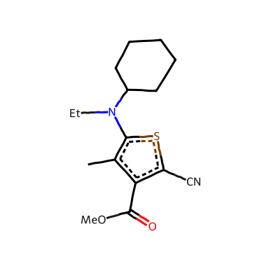 CCN(c1sc(C#N)c(C(=O)OC)c1C)C1CCCCC1